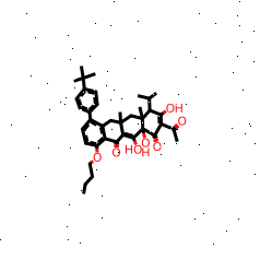 CCCCOc1ccc(-c2ccc(C(C)(C)C)cc2)c2c1C(=O)C1=C(O)C3(O)C(=O)C(C(C)=O)=C(O)C(C(C)C)C3(C)CC1(C)C2